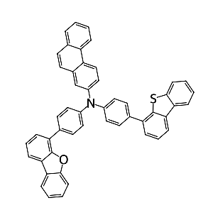 c1ccc2c(c1)ccc1cc(N(c3ccc(-c4cccc5c4oc4ccccc45)cc3)c3ccc(-c4cccc5c4sc4ccccc45)cc3)ccc12